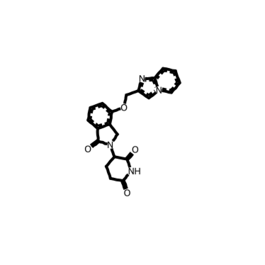 O=C1CCC(N2Cc3c(OCc4cn5ccccc5n4)cccc3C2=O)C(=O)N1